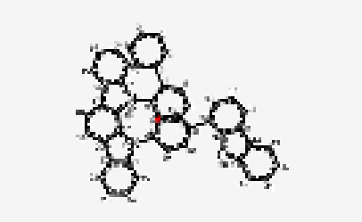 c1ccc(-c2ccccc2-n2c3ccccc3c3ccc4c5ccccc5n(-c5ccc(-c6cccc7c6oc6ccccc67)cc5)c4c32)cc1